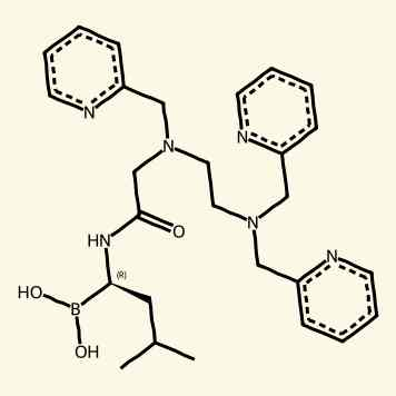 CC(C)C[C@H](NC(=O)CN(CCN(Cc1ccccn1)Cc1ccccn1)Cc1ccccn1)B(O)O